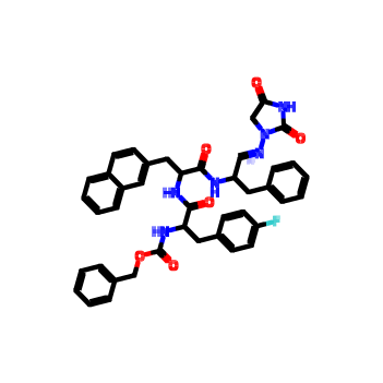 O=C1CN(/N=C/C(Cc2ccccc2)NC(=O)C(Cc2ccc3ccccc3c2)NC(=O)C(Cc2ccc(F)cc2)NC(=O)OCc2ccccc2)C(=O)N1